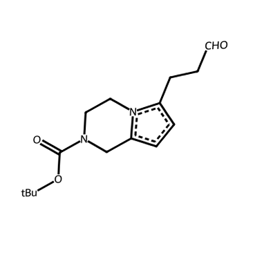 CC(C)(C)OC(=O)N1CCn2c(CCC=O)ccc2C1